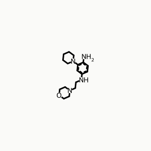 Nc1ccc(NCCN2CCOCC2)cc1N1CCCCC1